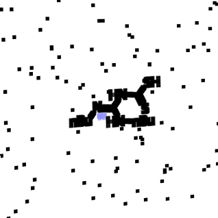 CCCC/N=C(\NCCCC)NC(=S)S